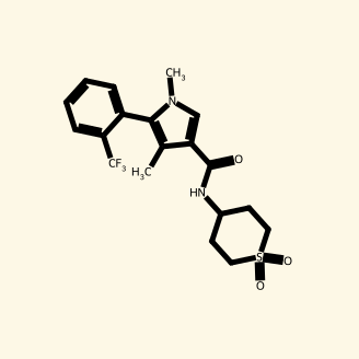 Cc1c(C(=O)NC2CCS(=O)(=O)CC2)cn(C)c1-c1ccccc1C(F)(F)F